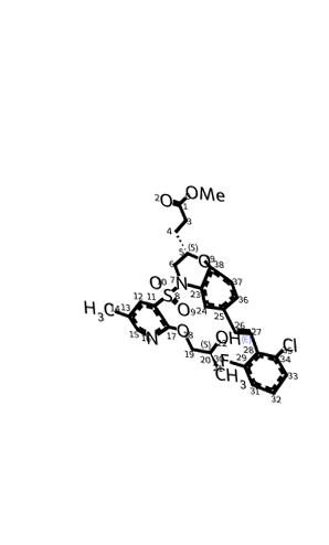 COC(=O)CC[C@H]1CN(S(=O)(=O)c2cc(C)cnc2OC[C@H](C)O)c2cc(/C=C/c3c(F)cccc3Cl)ccc2O1